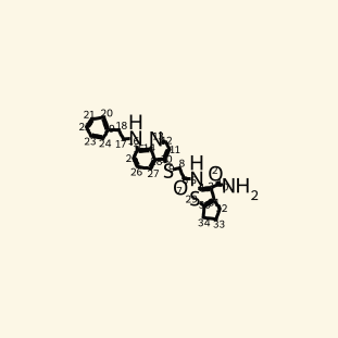 NC(=O)c1c(NC(=O)CSc2ccnc3c(NCCc4ccccc4)cccc23)sc2c1CCC2